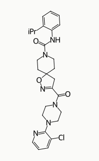 CC(C)c1ccccc1NC(=O)N1CCC2(CC1)CC(C(=O)N1CCN(c3ncccc3Cl)CC1)=NO2